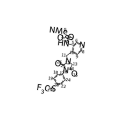 CNS(=O)(=O)Nc1cnccc1CN1CC(=O)N(c2ccc(SC(F)(F)F)cc2)C1=O